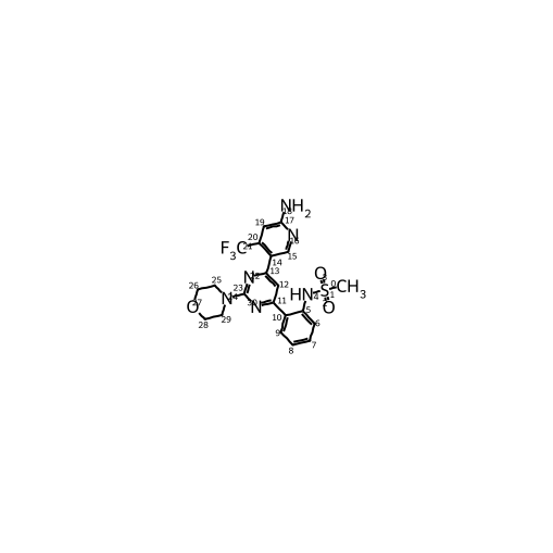 CS(=O)(=O)Nc1ccccc1-c1cc(-c2cnc(N)cc2C(F)(F)F)nc(N2CCOCC2)n1